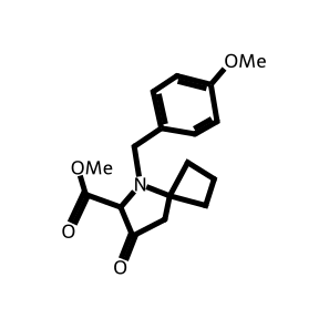 COC(=O)C1C(=O)CC2(CCC2)N1Cc1ccc(OC)cc1